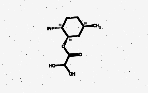 CC(C)[C@@H]1CC[C@@H](C)C[C@H]1OC(=O)C(O)O